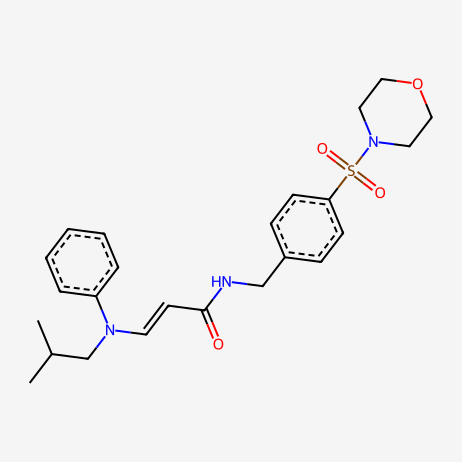 CC(C)CN(/C=C/C(=O)NCc1ccc(S(=O)(=O)N2CCOCC2)cc1)c1ccccc1